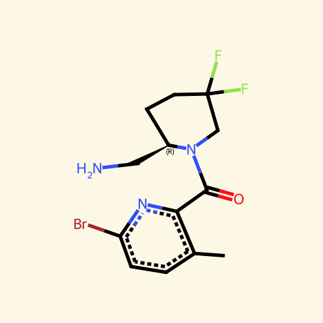 Cc1ccc(Br)nc1C(=O)N1CC(F)(F)CC[C@@H]1CN